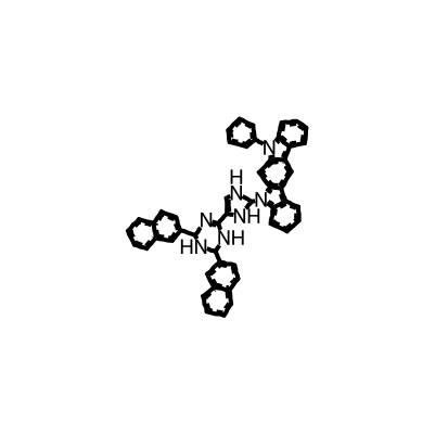 C1=C(C2=NC(c3ccc4ccccc4c3)NC(c3ccc4ccccc4c3)N2)NC(n2c3ccccc3c3cc4c5ccccc5n(-c5ccccc5)c4cc32)N1